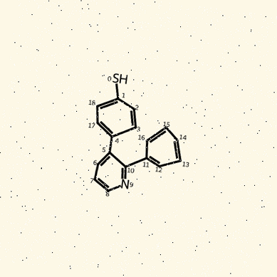 Sc1ccc(-c2cccnc2-c2ccccc2)cc1